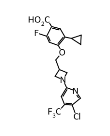 O=C(O)c1cc(C2CC2)c(OCC2CN(c3cc(C(F)(F)F)c(Cl)cn3)C2)cc1F